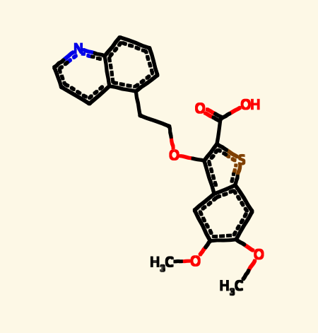 COc1cc2sc(C(=O)O)c(OCCc3cccc4ncccc34)c2cc1OC